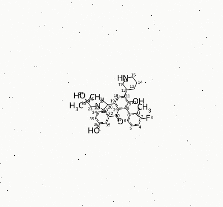 Cc1c(F)cccc1-c1c(O)c([C@@H]2CCCNC2)[c]c(C2CN(CC(C)(C)O)C2)c1C(=O)c1cccc(O)c1